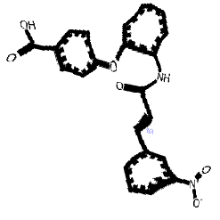 O=C(/C=C/c1cccc([N+](=O)[O-])c1)Nc1ccccc1Oc1ccc(C(=O)O)cc1